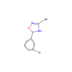 CC(C)C1=NOC(c2cccc(Br)c2)N1